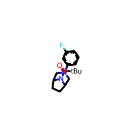 CC(C)(C)C(=O)N1C2CCC1CN(c1cccc(F)c1)C2